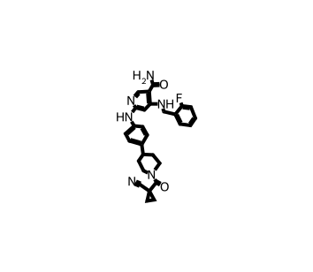 N#CC1(C(=O)N2CCC(c3ccc(Nc4cc(NCc5ccccc5F)c(C(N)=O)cn4)cc3)CC2)CC1